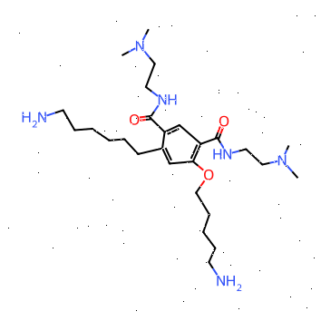 CN(C)CCNC(=O)c1cc(C(=O)NCCN(C)C)c(OCCCCCN)cc1CCCCCCN